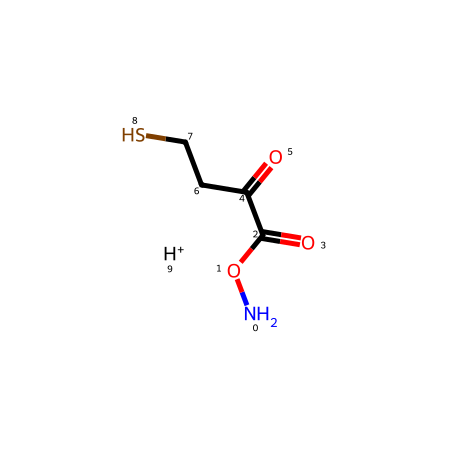 NOC(=O)C(=O)CCS.[H+]